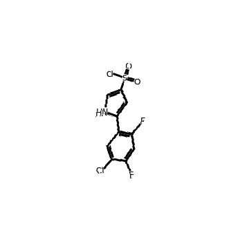 O=S(=O)(Cl)c1c[nH]c(-c2cc(Cl)c(F)cc2F)c1